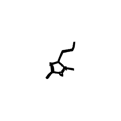 CCCC1N=C(C)ON1C